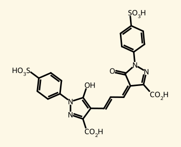 O=C(O)C1=NN(c2ccc(S(=O)(=O)O)cc2)C(=O)/C1=C\C=C\c1c(C(=O)O)nn(-c2ccc(S(=O)(=O)O)cc2)c1O